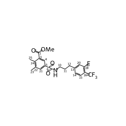 COC(=O)c1cc(S(=O)(=O)NCCCc2ccc(C(F)(F)F)c(F)c2)cc(C)c1C